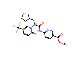 COC(=O)c1ccc(NC(=O)[C@H](CC2CCCC2)n2cc(C(F)(F)F)ccc2=O)nc1